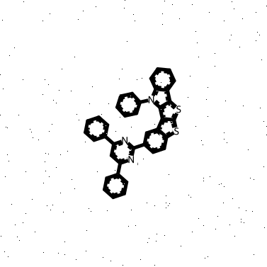 c1ccc(-c2cc(-c3ccccc3)nc(-c3ccc4sc5sc6c7ccccc7n(-c7ccccc7)c6c5c4c3)n2)cc1